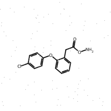 NOC(=O)Cc1ccccc1Oc1ccc(Cl)cc1